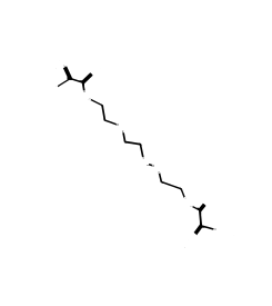 C=C(C)C(=O)OCCOCCSOCCOC(=O)C(=C)C